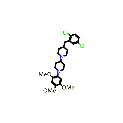 COc1cc(OC)c(N2CCC(N3CCC(Cc4cc(Cl)ccc4Cl)CC3)CC2)cc1OC